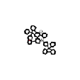 c1ccc(-c2ccc(N(c3ccc(C4(c5ccccc5)c5ccccc5-c5ccccc54)cc3)c3cccc4oc5c6c(ccc5c34)C(c3ccccc3)(c3ccccc3)c3ccccc3-6)cc2)cc1